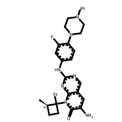 CCC1(n2c(=O)c(N)cc3cnc(Nc4ccc(N5CCN(C(C)C)CC5)c(F)c4)nc32)CC[C@H]1C